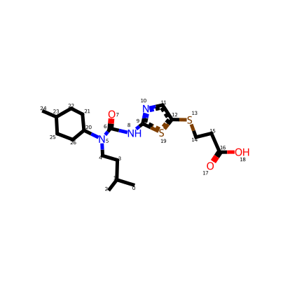 CC(C)CCN(C(=O)Nc1ncc(SCCC(=O)O)s1)C1CCC(C)CC1